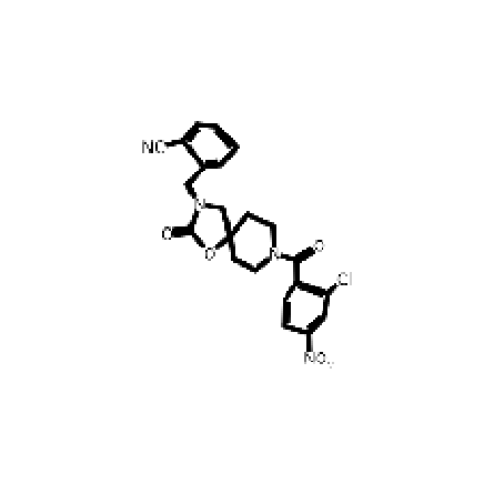 N#Cc1ccccc1CN1CC2(CCN(C(=O)c3ccc([N+](=O)[O-])cc3Cl)CC2)OC1=O